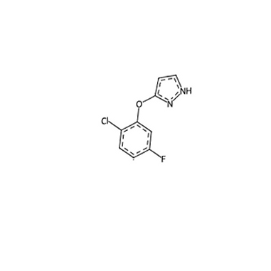 Fc1[c]cc(Cl)c(Oc2cc[nH]n2)c1